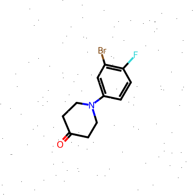 O=C1CCN(c2ccc(F)c(Br)c2)CC1